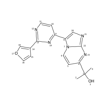 CC(C)(O)c1ccn2c(-c3ccnc(-c4ccoc4)n3)cnc2n1